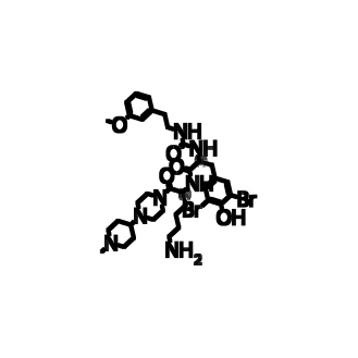 COc1cccc(CCNC(=O)N[C@@H](Cc2cc(Br)c(O)c(Br)c2)C(=O)N[C@@H](CCCCN)C(=O)N2CCN(C3CCN(C)CC3)CC2)c1